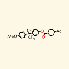 COc1ccc(C(c2ccc(OC(=O)C3CCC(C(C)=O)CC3)cc2)(C(F)(F)F)C(F)(F)F)cc1